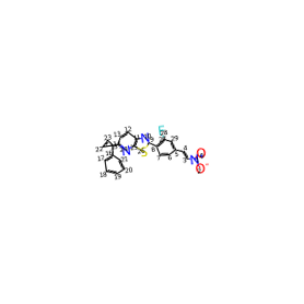 O=[N+]([O-])C=Cc1ccc(-c2nc3ccc(C4(c5ccccc5)C=C4)nc3s2)c(F)c1